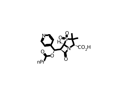 CCCC(=O)O[C@H](c1ccncc1)[C@@H]1C(=O)N2[C@@H](C(=O)O)C(C)(C)S(=O)(=O)[C@H]12